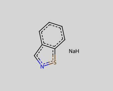 [NaH].c1ccc2sncc2c1